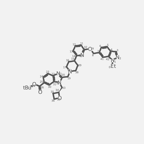 CCn1ncc2ccc(COc3cccc(C4CCN(Cc5nc6ccc(C(=O)OC(C)(C)C)cc6n5C[C@@H]5CCO5)CC4)n3)cc21